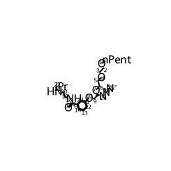 CCCCCOCCOCCOC(COc1cccc(C(=O)NCCNC(C)C)c1)N=[N+]=[N-]